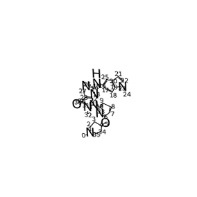 CN1CCC(Oc2cccc(-n3c4nc(Nc5ccc6c(ccn6C)c5)ncc4c(=O)n3C)n2)CC1